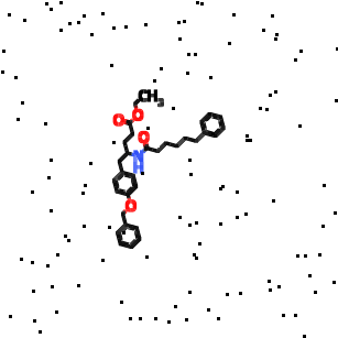 CCOC(=O)CCC(Cc1ccc(OCc2ccccc2)cc1)NC(=O)CCCCCc1ccccc1